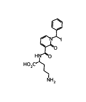 NCCC[C@H](NC(=O)c1cccn(C(I)c2ccccc2)c1=O)C(=O)O